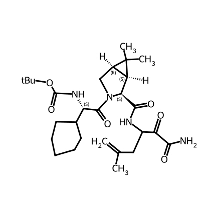 C=C(C)CC(NC(=O)[C@@H]1[C@H]2[C@@H](CN1C(=O)[C@@H](NC(=O)OC(C)(C)C)C1CCCCC1)C2(C)C)C(=O)C(N)=O